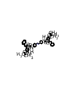 CC(C)(C)O[C@@H]1C[C@@H](C(=O)Nc2ccc(/C=C/c3ccc(NC(=O)[C@@H]4C[C@@H](OC(C)(C)C)CN4C(=O)Cc4ccccc4)cc3)cc2)N(C(=O)Cc2ccccc2)C1